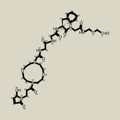 O=CCOCNC(=O)CNC(=O)[C@H](Cc1ccccc1)NC(=O)CNC(=O)CNC(=O)CN1CCOCCN(C(=O)CCN2C(=O)C=CC2O)CCOCC1